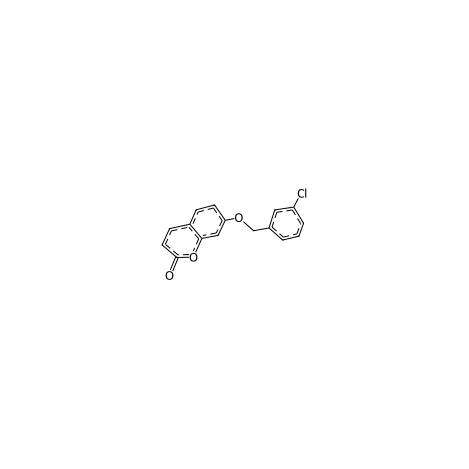 O=c1ccc2ccc(OCc3cccc(Cl)c3)cc2o1